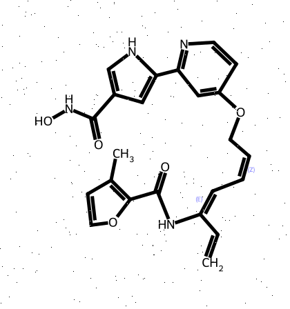 C=C/C(=C\C=C/COc1ccnc(-c2cc(C(=O)NO)c[nH]2)c1)NC(=O)c1occc1C